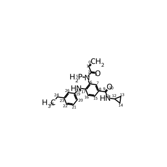 C=CC(=O)N(P)c1cc(C(=O)NC2CC2)ccc1Nc1cccc(CC)c1